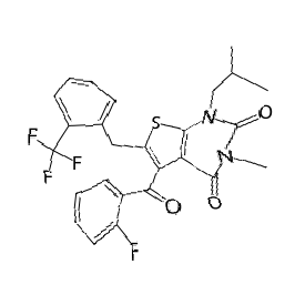 CC(C)Cn1c(=O)n(C)c(=O)c2c(C(=O)c3ccccc3F)c(Cc3ccccc3C(F)(F)F)sc21